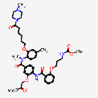 COC(=O)COc1cc(C(=O)N(C)c2ccc(C)cc2OCCCCCC(=O)N2CCN(C)CC2)ccc1NC(=O)c1ccccc1OCCCNC(=O)OC(C)(C)C